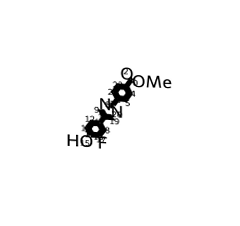 COC(=O)c1ccc(-c2ncc(-c3ccc(O)c(F)c3)cn2)cc1